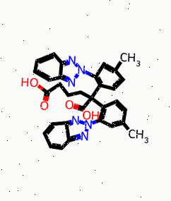 Cc1ccc(C(CCCC(=O)O)(C(=O)O)c2ccc(C)cc2-n2nc3ccccc3n2)c(-n2nc3ccccc3n2)c1